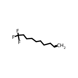 C=CCCCCCCCC(F)(F)F